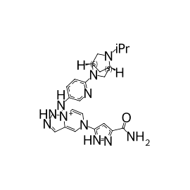 CC(C)N1C[C@@H]2C[C@H]1CN2c1ccc(N[N+]23C=CN(c4cc(C(N)=O)n[nH]4)C=C2C=NN3)cn1